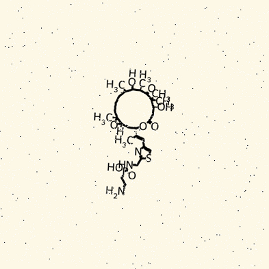 C/C(=C\c1csc(CNP(=O)(O)CCN)n1)[C@@H]1C[C@@H]2O[C@]2(C)CCCC(C)C(O)[C@@H](C)C(=O)C(C)(C)[C@@H](O)CC(=O)O1